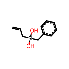 C=CC[Si](O)(O)Cc1ccccc1